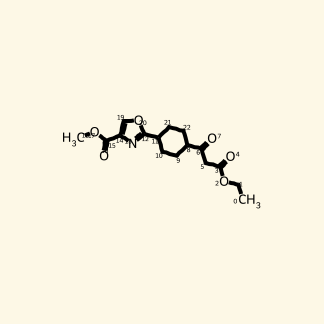 CCOC(=O)CC(=O)C1CCC(c2nc(C(=O)OC)co2)CC1